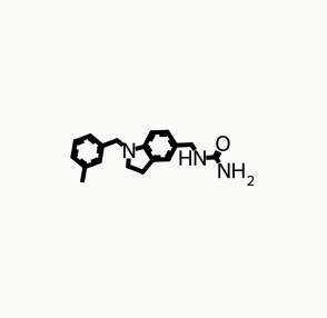 Cc1cccc(CN2CCc3cc(CNC(N)=O)ccc32)c1